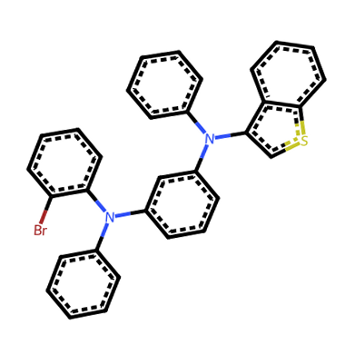 Brc1ccccc1N(c1ccccc1)c1cccc(N(c2ccccc2)c2csc3ccccc23)c1